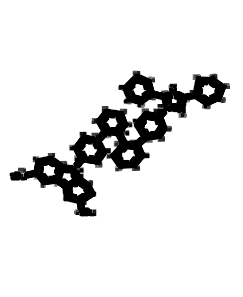 CC(C)(C)c1ccc2c(c1)c1cc(C(C)(C)C)ccc1n2-c1ccc(-c2ccccc2-c2ccccc2-c2ccc(-n3nc(-c4ccccc4)nc3-c3ccccc3)cc2)cc1